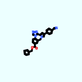 N#Cc1ccc(-c2cc3n(c2)Cc2cc(C(=O)OCc4ccccc4)ccc2-n2cnnc2-3)cc1